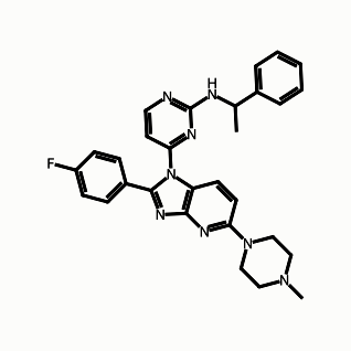 CC(Nc1nccc(-n2c(-c3ccc(F)cc3)nc3nc(N4CCN(C)CC4)ccc32)n1)c1ccccc1